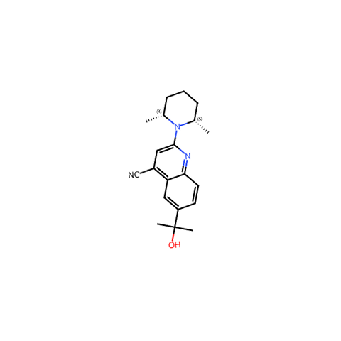 C[C@@H]1CCC[C@H](C)N1c1cc(C#N)c2cc(C(C)(C)O)ccc2n1